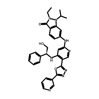 CCn1c(=O)c2ccc(Nc3cc(N[C@H](CO)c4ccccc4)c(-c4nnc(-c5cccnc5)o4)cn3)cc2n1C(C)C